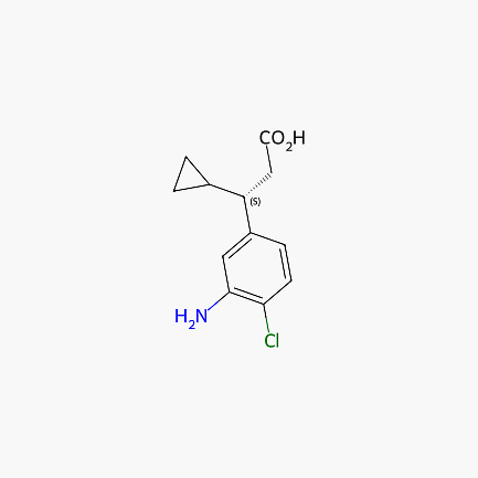 Nc1cc([C@@H](CC(=O)O)C2CC2)ccc1Cl